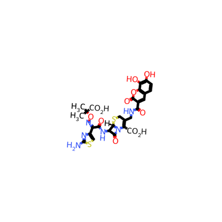 CC(C)(O/N=C(\C(=O)NC1C(=O)N2C(C(=O)O)=C(CNC(=O)c3cc4ccc(O)c(O)c4oc3=O)CS[C@@H]12)c1csc(N)n1)C(=O)O